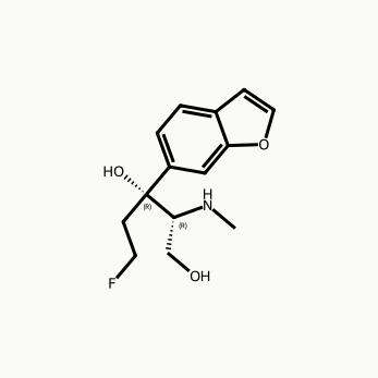 CN[C@H](CO)[C@@](O)(CCF)c1ccc2ccoc2c1